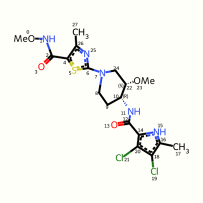 CONC(=O)c1sc(N2CC[C@@H](NC(=O)c3[nH]c(C)c(Cl)c3Cl)[C@@H](OC)C2)nc1C